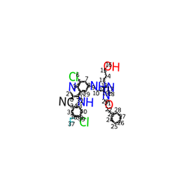 N#Cc1cnc2c(Cl)cc(NCc3c(CCCO)ncn3COCc3ccccc3)cc2c1Nc1ccc(F)c(Cl)c1